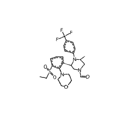 CCS(=O)(=O)c1cccc(C2CN(C=O)CC(C)N2c2ccc(C(F)(F)F)cc2)c1N1CCOCC1